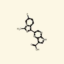 Cc1nc(-c2cnc3[nH]cc(C(=O)O)c3n2)c2ccc(F)cn12